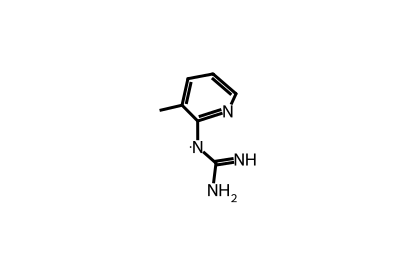 Cc1cccnc1[N]C(=N)N